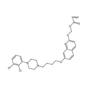 CCCCCCCC(=O)OCOc1ccc2ccc(OCCCCN3CCN(c4cccc(Cl)c4Cl)CC3)cc2n1